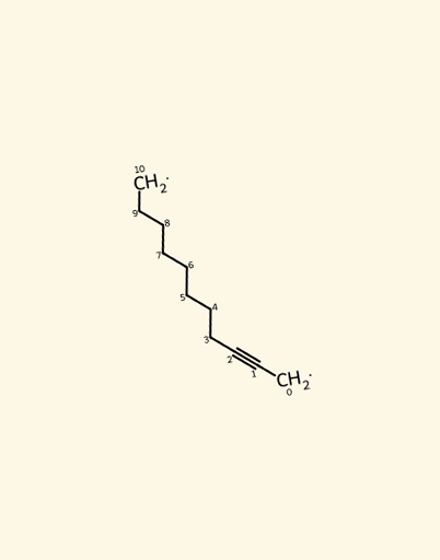 [CH2]C#CCCCCCCC[CH2]